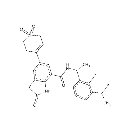 CC(F)c1cccc([C@@H](C)NC(=O)c2cc(C3=CCS(=O)(=O)CC3)cc3c2NC(=O)C3)c1F